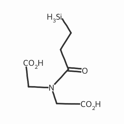 O=C(O)CN(CC(=O)O)C(=O)CC[SiH3]